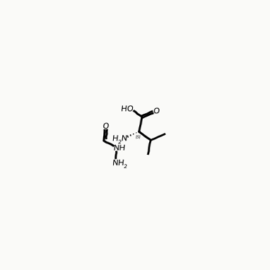 CC(C)[C@H](N)C(=O)O.NNC=O